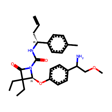 C=CC[C@@H](NC(=O)N1C(=O)C(CC)(CC)[C@@H]1Oc1ccc(C(N)COC)cc1)c1ccc(C)cc1